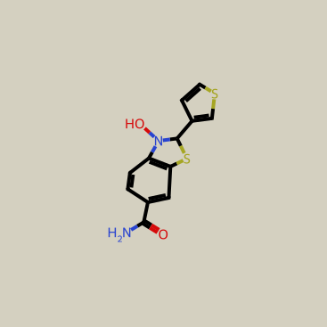 NC(=O)c1ccc2c(c1)SC(c1ccsc1)N2O